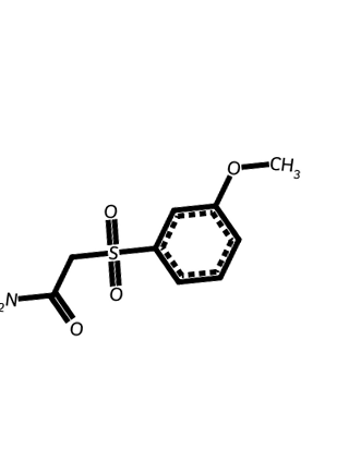 COc1cccc(S(=O)(=O)CC(N)=O)c1